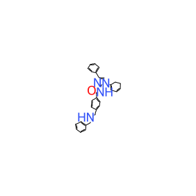 O=C(Nc1nc(-c2ccccc2)cn1C1=CC=CCC1)c1ccc(CNCc2ccccc2)cc1